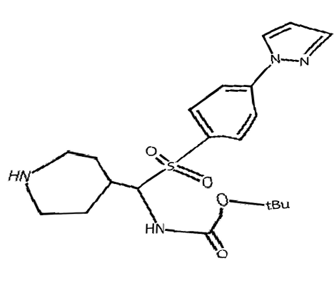 CC(C)(C)OC(=O)NC(C1CCNCC1)S(=O)(=O)c1ccc(-n2cccn2)cc1